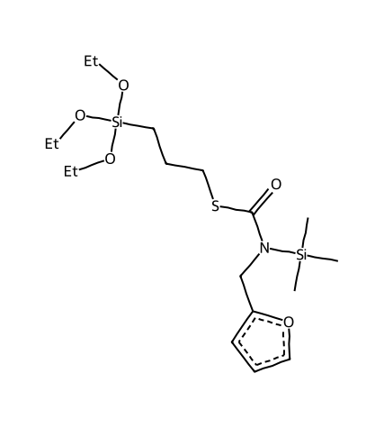 CCO[Si](CCCSC(=O)N(Cc1ccco1)[Si](C)(C)C)(OCC)OCC